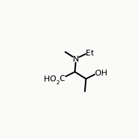 CCN(C)C(C(=O)O)C(C)O